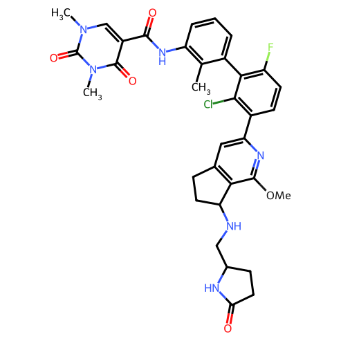 COc1nc(-c2ccc(F)c(-c3cccc(NC(=O)c4cn(C)c(=O)n(C)c4=O)c3C)c2Cl)cc2c1C(NCC1CCC(=O)N1)CC2